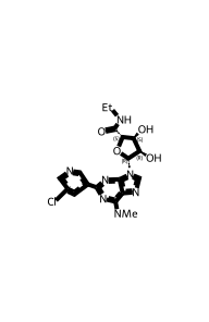 CCNC(=O)[C@H]1O[C@@H](n2cnc3c(NC)nc(-c4cncc(Cl)c4)nc32)[C@H](O)[C@@H]1O